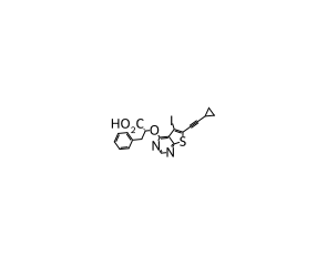 O=C(O)[C@@H](Cc1ccccc1)Oc1ncnc2sc(C#CC3CC3)c(I)c12